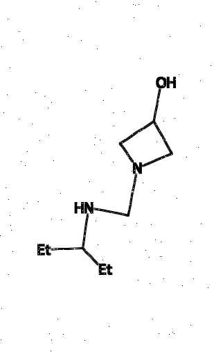 CCC(CC)NCN1CC(O)C1